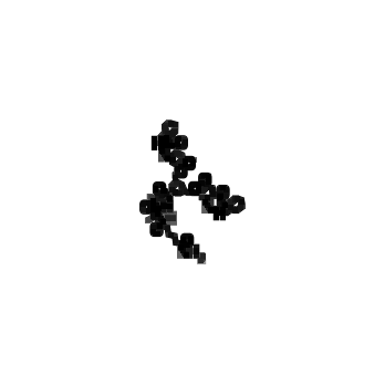 COc1cc2c(cc1OCc1cc(COc3cc4c(cc3OC)C(=O)N3c5ccccc5C[C@H]3C=N4)cc(NC(=O)[C@H](C)NC(=O)[C@H](C)NC(=O)CCCCC(N)=O)c1)N=C[C@@H]1Cc3ccccc3N1C2=O